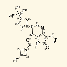 O=C(Cn1c(=O)n(CF)c2ncc(-c3ccc(C(F)(F)F)s3)cc21)N1CC(F)C1